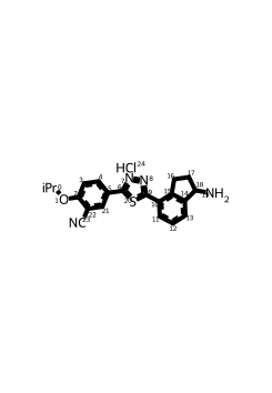 CC(C)Oc1ccc(-c2nnc(-c3cccc4c3CCC4N)s2)cc1C#N.Cl